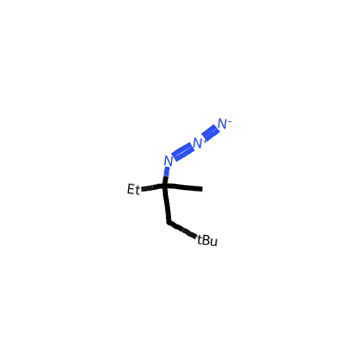 CCC(C)(CC(C)(C)C)N=[N+]=[N-]